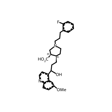 COc1ccc2nccc(C(O)CC[C@@H]3CCN(CCCc4ccccc4F)C[C@@H]3C(=O)O)c2c1